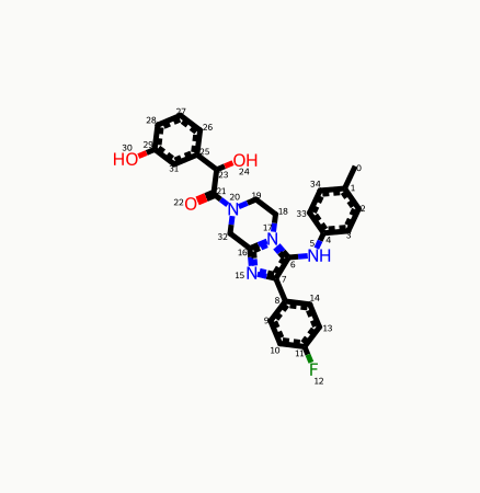 Cc1ccc(Nc2c(-c3ccc(F)cc3)nc3n2CCN(C(=O)C(O)c2cccc(O)c2)C3)cc1